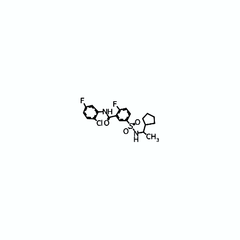 CC(NS(=O)(=O)c1ccc(F)c(C(=O)Nc2cc(F)ccc2Cl)c1)C1CCCC1